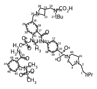 CC(C)CCN1CCN(S(=O)(=O)c2ccc(NC(=O)c3cc(CN4CC(CN(C(=O)O)C(C)(C)C)C4)ccc3N(C)S(C)(=O)=O)cc2)CC1.CN(c1ccccc1C(N)=O)S(C)(=O)=O